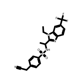 CCn1c(C(C)NS(=O)(=O)c2ccc(CC#N)cc2)nc2ccc(C(F)(F)F)cc21